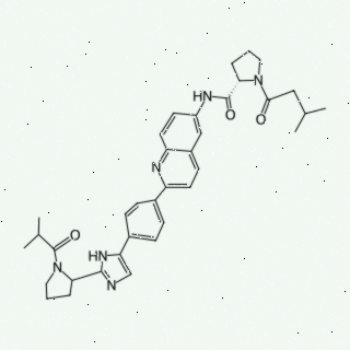 CC(C)CC(=O)N1CCC[C@H]1C(=O)Nc1ccc2nc(-c3ccc(-c4cnc(C5CCCN5C(=O)C(C)C)[nH]4)cc3)ccc2c1